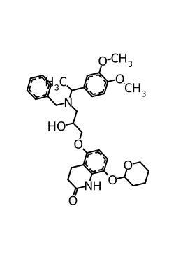 COc1ccc(C(C)N(Cc2ccccc2)CC(O)COc2ccc(OC3CCCCO3)c3c2CCC(=O)N3)cc1OC